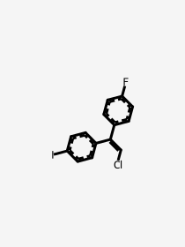 Fc1ccc(C(=CCl)c2ccc(I)cc2)cc1